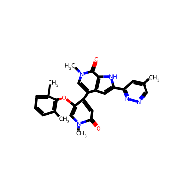 Cc1cnnc(-c2cc3c(-c4cc(=O)n(C)cc4Oc4c(C)cccc4C)cn(C)c(=O)c3[nH]2)c1